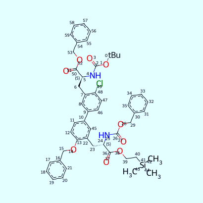 CC(C)(C)OC(=O)N[C@@H](Cc1cc(-c2ccc(OCc3ccccc3)c(C[C@H](NC(=O)OCc3ccccc3)C(=O)OCC[Si](C)(C)C)c2)ccc1Cl)C(=O)OCc1ccccc1